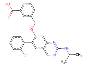 CC(C)Nc1ncc2cc(-c3ccccc3Cl)c(OCc3cccc(C(=O)O)c3)cc2n1